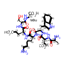 CC[C@H](C)[C@H](NC(=O)[C@H](CO)NC(=O)[C@H](CCC(=O)O)NC(=O)[C@H](CCCCN)NC(=O)[C@H](Cc1c[nH]c2ccccc12)NC(=O)[C@H](CC(=O)O)NC(=O)[C@H](C)N)C(=O)O